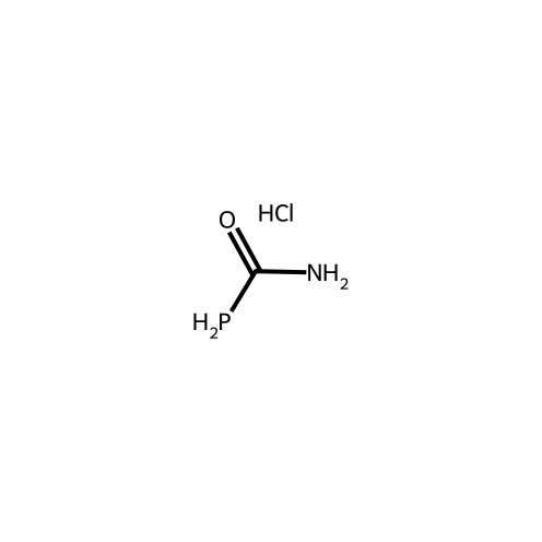 Cl.NC(=O)P